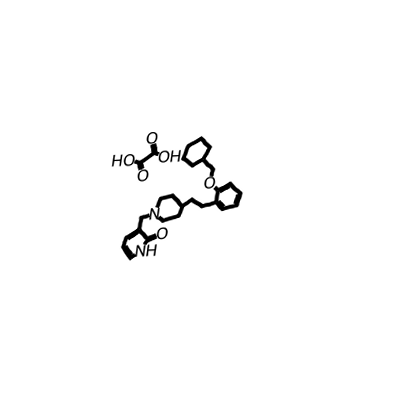 O=C(O)C(=O)O.O=c1[nH]cccc1CN1CCC(CCc2ccccc2OCC2CCCCC2)CC1